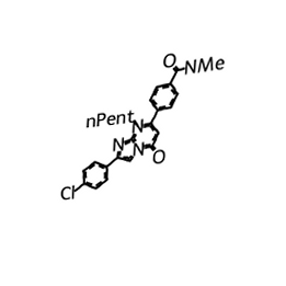 CCCCCn1c(-c2ccc(C(=O)NC)cc2)cc(=O)n2cc(-c3ccc(Cl)cc3)nc12